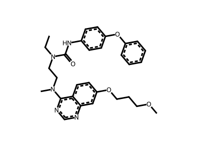 CCN(CCN(C)c1ncnc2cc(OCCCOC)ccc12)C(=O)Nc1ccc(Oc2ccccc2)cc1